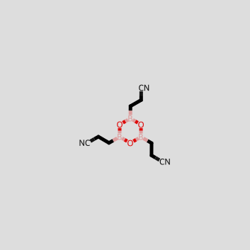 N#CCCB1OB(CCC#N)OB(CCC#N)O1